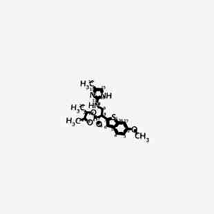 COc1ccc2cc(C(CNc3nc(C)c[nH]3)P3(=O)O[C@@H](C)[C@@H](C)O3)sc2c1